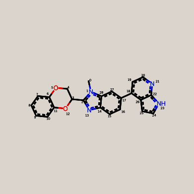 Cn1c(C2COc3ccccc3O2)nc2ccc(-c3ccnc4[nH]ccc34)cc21